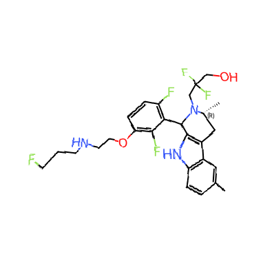 Cc1ccc2[nH]c3c(c2c1)C[C@@H](C)N(CC(F)(F)CO)C3c1c(F)ccc(OCCNCCCF)c1F